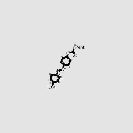 CCCCCC(=O)Oc1ccc(/N=N/c2ccc(CC)cc2)cc1